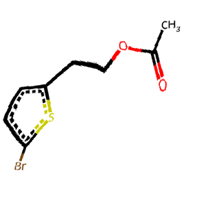 CC(=O)OCCc1ccc(Br)s1